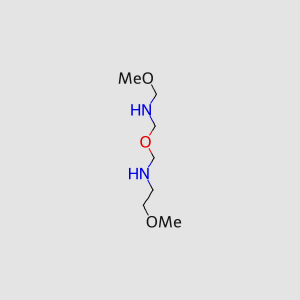 COCCNCOCNCOC